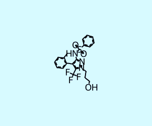 Cc1ccccc1-c1c(NS(=O)(=O)c2ccccc2)nn(CCCO)c1C(F)(F)F